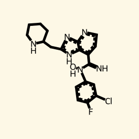 N=C(c1ccnc2nc(CC3CCCCN3)[nH]c12)N(O)c1ccc(F)c(Cl)c1